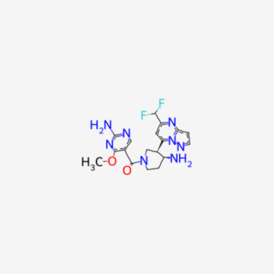 COc1nc(N)ncc1C(=O)N1CC[C@H](N)[C@H](c2cc(C(F)F)nc3ccnn23)C1